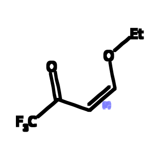 CCO/C=C\C(=O)C(F)(F)F